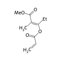 C=CC(=O)OC(CC)=C(C)C(=O)OC